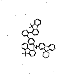 CC1(C)c2ccccc2-c2c(N(c3ccc(-c4ccccc4-c4cccc5c4C(C)(C)c4ccccc4-5)cc3)c3ccc4c(c3)C3(CCCCC3)c3ccccc3-4)cccc21